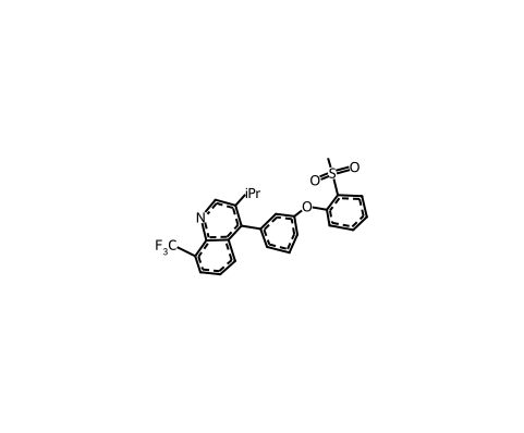 CC(C)c1cnc2c(C(F)(F)F)cccc2c1-c1cccc(Oc2ccccc2S(C)(=O)=O)c1